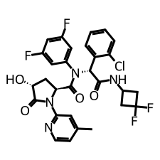 Cc1ccnc(N2C(=O)[C@H](O)C[C@H]2C(=O)N(c2cc(F)cc(F)c2)[C@@H](C(=O)NC2CC(F)(F)C2)c2ccccc2Cl)c1